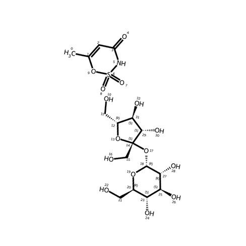 CC1=CC(=O)NS(=O)(=O)O1.OC[C@H]1O[C@@](CO)(O[C@H]2O[C@H](CO)[C@@H](O)[C@H](O)[C@H]2O)[C@@H](O)[C@@H]1O